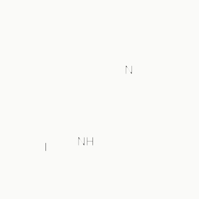 CN(C)CCNI